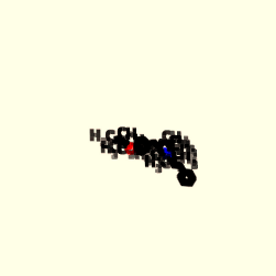 CC(C)=C(C)C(C)(C)Oc1ccc(CC2(C)CC(C)(C)C(C)(C)N(C(C)(C)C=Cc3ccccc3)C2(C)C)cc1